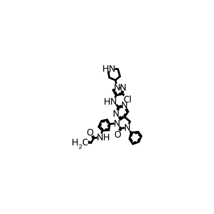 C=CC(=O)Nc1cccc(N2C(=O)N(c3ccccc3)Cc3cnc(Nc4cn(C5CCNCC5)nc4Cl)nc32)c1